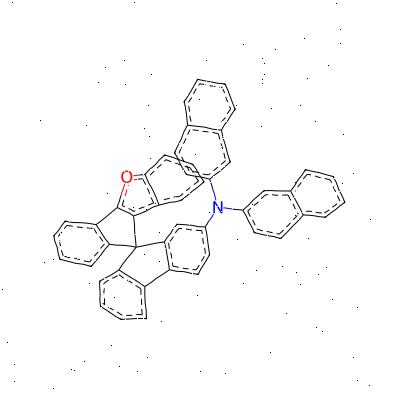 c1ccc2c(c1)-c1ccc(N(c3ccc4ccccc4c3)c3ccc4ccccc4c3)cc1C21c2ccccc2-c2oc3ccccc3c21